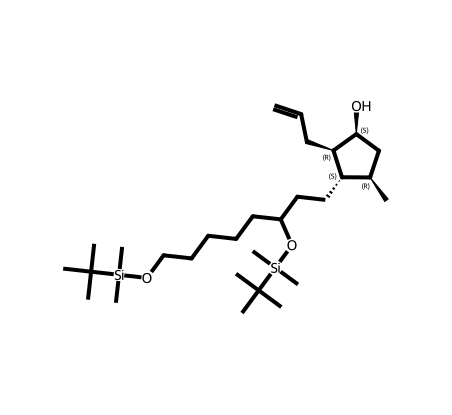 C=CC[C@@H]1[C@@H](CCC(CCCCCO[Si](C)(C)C(C)(C)C)O[Si](C)(C)C(C)(C)C)[C@H](C)C[C@@H]1O